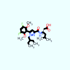 CCC(CC)Cn1nc(C(=O)N[C@H](CC(=O)O)CC(C)C)cc1-c1c(OC)c(F)cc(F)c1OC